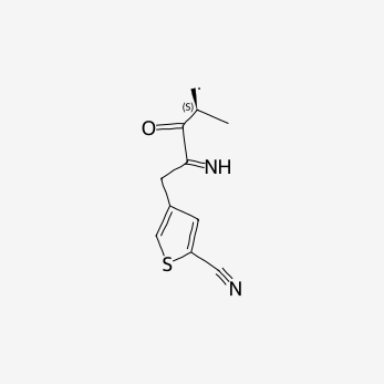 [CH2][C@@H](C)C(=O)C(=N)Cc1csc(C#N)c1